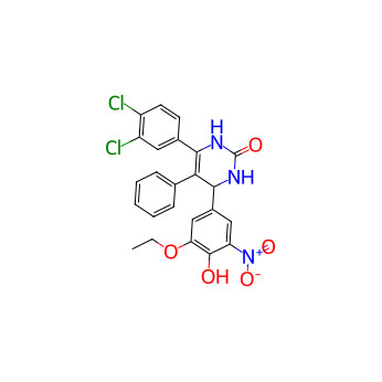 CCOc1cc(C2NC(=O)NC(c3ccc(Cl)c(Cl)c3)=C2c2ccccc2)cc([N+](=O)[O-])c1O